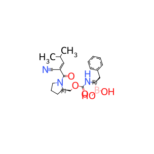 CC(C)C=C(C#N)C(=O)N1CCC[C@@H]1COC(=O)N[C@@H](Cc1ccccc1)B(O)O